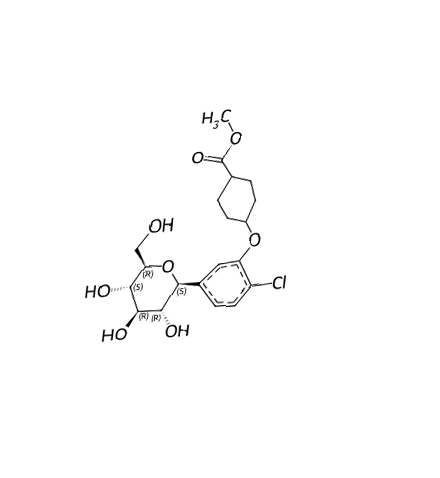 COC(=O)C1CCC(Oc2cc([C@@H]3O[C@H](CO)[C@@H](O)[C@H](O)[C@H]3O)ccc2Cl)CC1